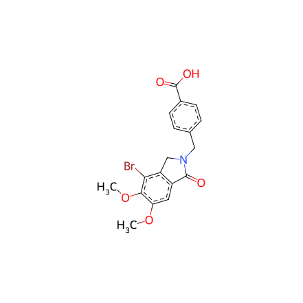 COc1cc2c(c(Br)c1OC)CN(Cc1ccc(C(=O)O)cc1)C2=O